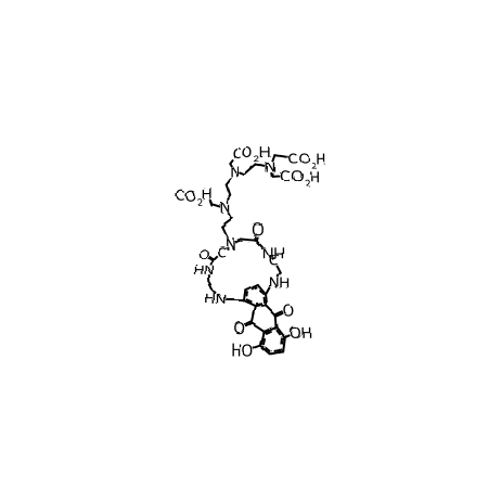 O=C(O)CN(CCN(CCN1CC(=O)NCCNc2ccc(c3c2C(=O)c2c(O)ccc(O)c2C3=O)NCCNC(=O)C1)CC(=O)O)CCN(CC(=O)O)CC(=O)O